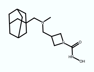 CN(CC1CN(C(=O)NO)C1)CC12CC3CC(CC(C3)C1)C2